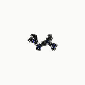 CC1(C)c2ccccc2-c2ccc(N(c3ccc(-c4ccc5c(c4)c4cc(-c6ccc7c(c6)C(C)(C)c6cc(N(c8ccc(-c9ccc%10c(c9)c9ccccc9n%10-c9ccccc9)cc8)c8ccc9c(c8)C(C)(C)c8ccccc8-9)ccc6-7)ccc4n5-c4ccccc4)cc3)c3cccc(-c4ccccc4)c3)cc21